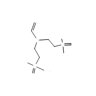 O=CN(CCP(=O)(O)O)CCP(=O)(O)O